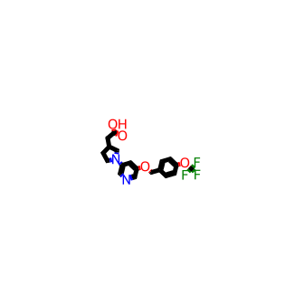 O=C(O)CC1CCN(c2cncc(OCc3ccc(OC(F)(F)F)cc3)c2)C1